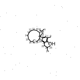 Cc1cc(C2(CC(C)C)CCCCCCCCCCC2)cc(CC(C)C)c1O